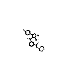 Nc1[nH]nc(-c2ccc(F)cc2)c1C(=O)c1cccc(C(=O)CN2CCOCC2)c1